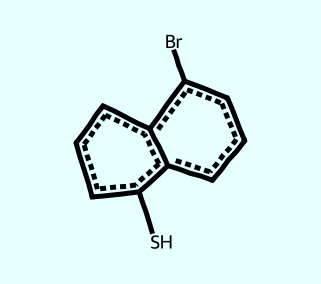 Sc1cccc2c(Br)cccc12